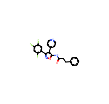 O=C(CCc1ccccc1)Nc1onc(-c2cc(F)c(F)cc2F)c1-c1ccncc1